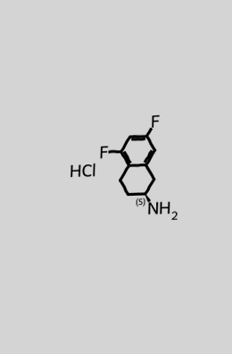 Cl.N[C@H]1CCc2c(F)cc(F)cc2C1